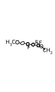 C=CCOc1ccc(-c2ccc(-c3ccc(C4CCC(C5CCC(C)CC5)CC4)cc3F)cc2)c(F)c1F